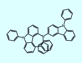 c1ccc(-c2cccc3c2c2c(N(c4ccccc4)c4ccc5c(c4)c4ccccc4n5-c4ccccc4)cccc2n3-c2ccccc2)cc1